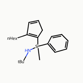 CCCCCCC1=C([Si](C)(NC(C)(C)C)c2ccccc2)CC=C1